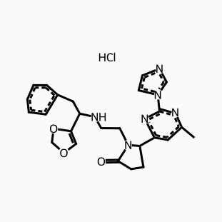 Cc1cc(C2CCC(=O)N2CCNC(Cc2ccccc2)C2=COCO2)nc(-n2ccnc2)n1.Cl